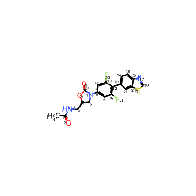 CC(=O)NCC1CN(c2cc(F)c(-c3ccc4ncsc4c3)c(F)c2)C(=O)O1